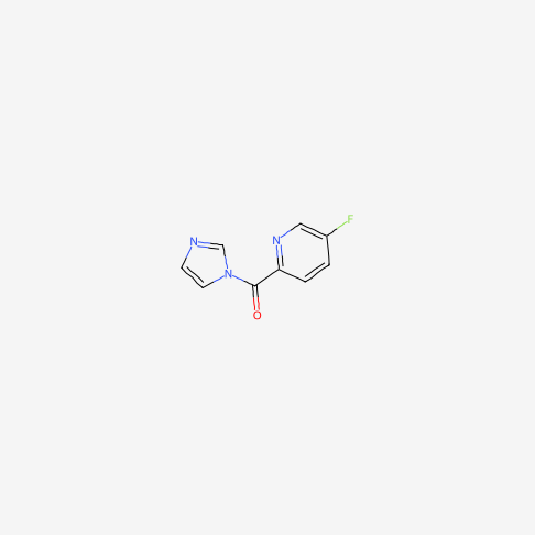 O=C(c1ccc(F)cn1)n1ccnc1